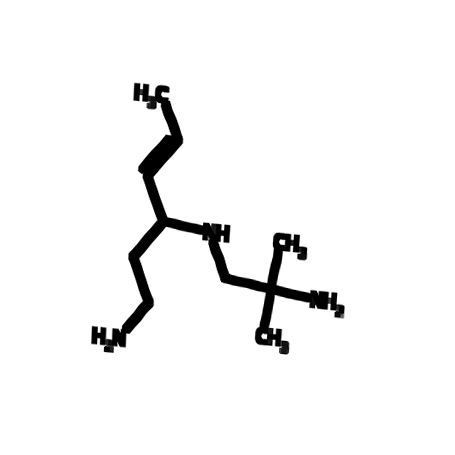 CC=CC(CCN)NCC(C)(C)N